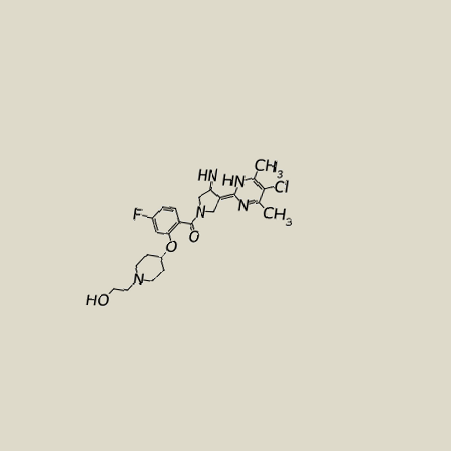 CC1=N/C(=C2\CN(C(=O)c3ccc(F)cc3OC3CCN(CCO)CC3)CC2=N)NC(C)=C1Cl